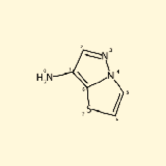 Nc1cnn2ccsc12